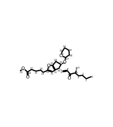 CCCCC(F)C(=O)/C=C/[C@@H]1c2cc(CCCCC(=O)OC)oc2C[C@H]1OC1CCCCO1